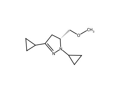 COC[C@H]1CC(C2CC2)=NN1C1CC1